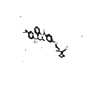 CC(=O)N(c1ccc(Cl)cc1)C1CC(C)N(C(=O)c2ccc(OCCNC(=O)C3CCC3)cc2)c2ccccc21